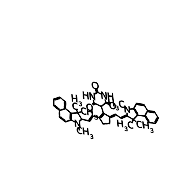 CN1C(=CC=C2CCC(C=CC3N(C)c4ccc5ccccc5c4C3(C)C)=C2C2C(=O)NC(=O)NC2=O)C(C)(C)c2c1ccc1ccccc21